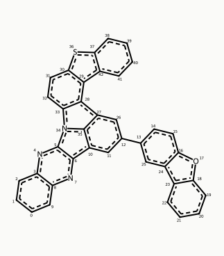 c1ccc2nc3c(nc2c1)c1cc(-c2ccc4oc5ccccc5c4c2)cc2c4c5c(ccc4n3c12)sc1ccccc15